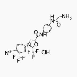 Cl.N#Cc1ccc(N2C[C@@H](C(=O)Nc3ccc(NC(=O)CN)cc3)O[C@@H]2C(F)(F)F)cc1C(F)(F)F